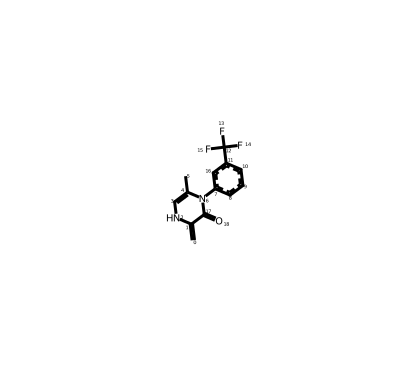 C=C1NC=C(C)N(c2cccc(C(F)(F)F)c2)C1=O